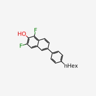 CCCCCCc1ccc(-c2ccc3c(F)c(O)c(F)cc3c2)cc1